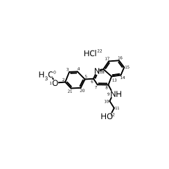 COc1ccc(-c2cc(NCCO)c3ccccc3n2)cc1.Cl